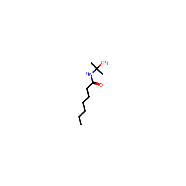 CCCCCCC(=O)NC(C)(C)O